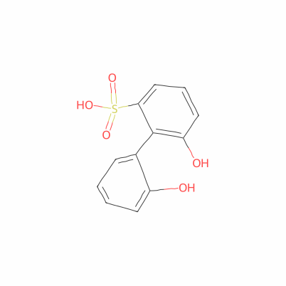 O=S(=O)(O)c1cccc(O)c1-c1ccccc1O